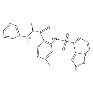 Cc1ccc(C(=O)N(C)[C@H](C)c2ccccc2)c(NS(=O)(=O)C2=CC=CN3SNC=C23)c1